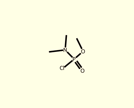 COP(=O)(Cl)N(C)C